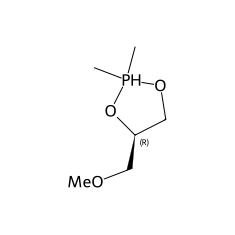 COC[C@@H]1CO[PH](C)(C)O1